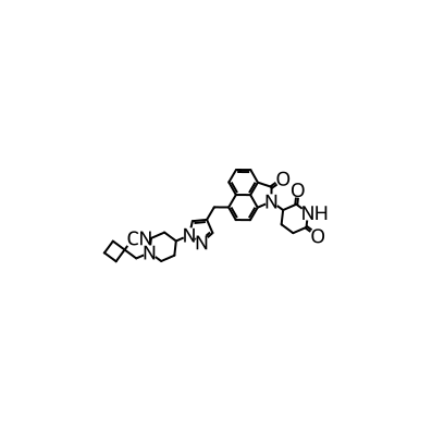 N#CC1(CN2CCC(n3cc(Cc4ccc5c6c(cccc46)C(=O)N5C4CCC(=O)NC4=O)cn3)CC2)CCC1